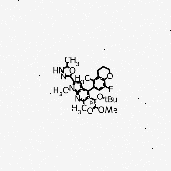 COC(=O)[C@@H](OC(C)(C)C)c1c(C)nc2c(cc(C3=NNC(C)O3)n2C)c1-c1cc(F)c2c(c1C)CCCO2